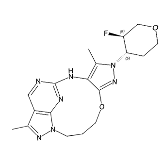 Cc1nn2c3nc(ncc13)Nc1c(nn([C@H]3CCOC[C@@H]3F)c1C)OCCC2